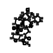 COC(=O)CC[C@@H]1N=C(c2ccccc2F)c2cc(Cl)ccc2N=C1OP(=O)(N1CCOCC1)N1CCOCC1